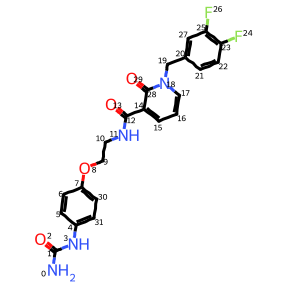 NC(=O)Nc1ccc(OCCNC(=O)c2cccn(Cc3ccc(F)c(F)c3)c2=O)cc1